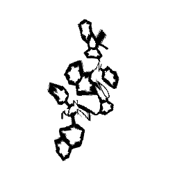 CC1(C)c2ccccc2-c2ccc(N(c3ccccc3)c3c4ccccc4cc4c3oc3cccc(-c5nc(-c6ccccc6)nc(-c6ccc7ccccc7c6)n5)c34)cc21